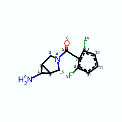 NC1C2CN(C(=O)c3c(F)cccc3F)CC12